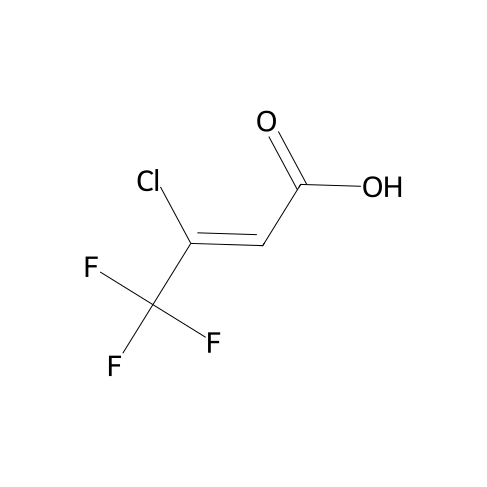 O=C(O)C=C(Cl)C(F)(F)F